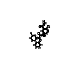 CCc1ncc(NC(=O)C(=O)N2C[C@H](C)CC[C@H]2c2ccccc2)cc1C(N)=O